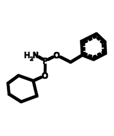 NP(OCc1ccccc1)OC1CCCCC1